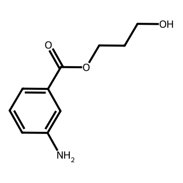 Nc1cccc(C(=O)OCCCO)c1